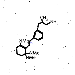 CNC1=C(/C=C/c2cccc(CC(C)CN)c2)C(NC)(NC)CCC1